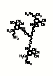 CN(CCN)C1CC(NCCOCCN(CCOCCNC2=C(C#N)C(=C(C#N)C#N)CC(N(C)CCN)C2)CCOCCNC2=C(C#N)C(=C(C#N)C#N)CC(N(C)CCN)C2)=C(C#N)C(=C(C#N)C#N)C1